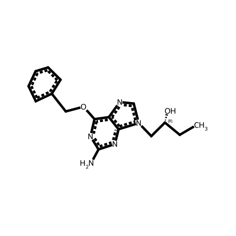 CC[C@@H](O)Cn1cnc2c(OCc3ccccc3)nc(N)nc21